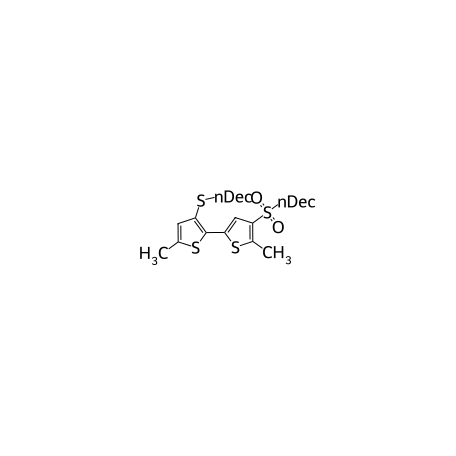 CCCCCCCCCCSc1cc(C)sc1-c1cc(S(=O)(=O)CCCCCCCCCC)c(C)s1